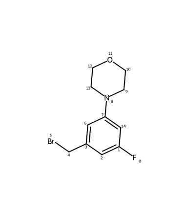 Fc1cc(CBr)cc(N2CCOCC2)c1